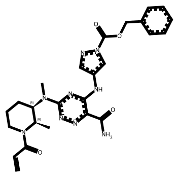 C=CC(=O)N1CCC[C@@H](N(C)c2nnc(C(N)=O)c(Nc3cnn(C(=O)OCc4ccccc4)c3)n2)[C@H]1C